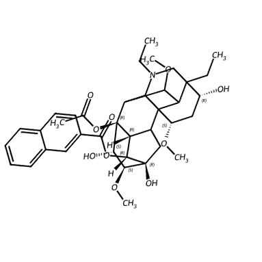 CCN1CC2(CC)C3C(OC)C4C1C3(C1C[C@@]3(O)[C@H](OC(=O)c5ccc6ccccc6c5)[C@@H]1[C@]4(OC(C)=O)[C@@H](O)[C@@H]3OC)[C@@H](OC)C[C@H]2O